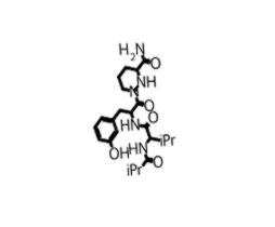 CC(C)C(=O)NC(C(=O)NC(Cc1cccc(O)c1)C(=O)N1CCCC(C(N)=O)N1)C(C)C